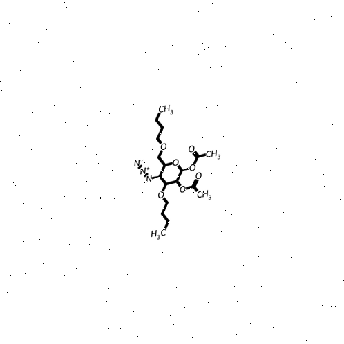 CCCCOCC1O[C@@H](OC(C)=O)C(OC(C)=O)C(OCCCC)[C@H]1N=[N+]=[N-]